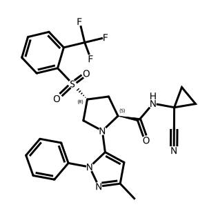 Cc1cc(N2C[C@H](S(=O)(=O)c3ccccc3C(F)(F)F)C[C@H]2C(=O)NC2(C#N)CC2)n(-c2ccccc2)n1